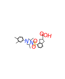 Cc1ccc(N2CC(C)N(S(=O)(=O)c3cccc4c3CC(C(=O)O)C4)C(C)C2)cc1C